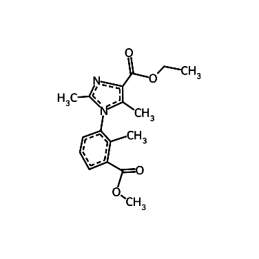 CCOC(=O)c1nc(C)n(-c2cccc(C(=O)OC)c2C)c1C